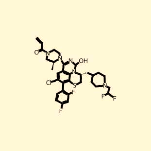 C=CC(=O)N1CCN(C2=NC(O)N3c4c2cc(Cl)c(-c2ccc(F)cc2F)c4SC[C@H]3CC2CCN(CC(F)F)CC2)[C@@H](C)C1